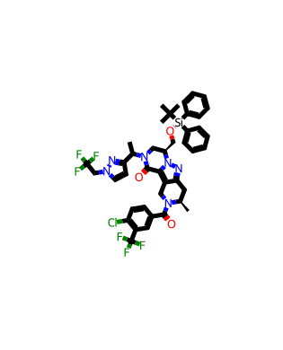 CC(c1ccn(CC(F)(F)F)n1)N1C[C@@H](CO[Si](c2ccccc2)(c2ccccc2)C(C)(C)C)n2nc3c(c2C1=O)CN(C(=O)c1ccc(Cl)c(C(F)(F)F)c1)[C@H](C)C3